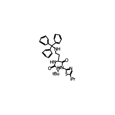 CC(C)c1cnc(NC(=O)C(CCNC(c2ccccc2)(c2ccccc2)c2ccccc2)NC(=O)OC(C)(C)C)s1